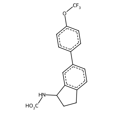 O=C(O)NC1CCc2ccc(-c3ccc(OC(F)(F)F)cc3)cc21